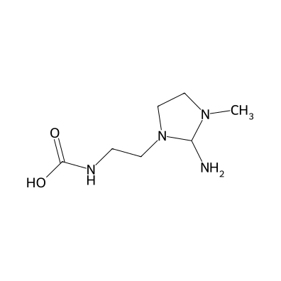 CN1CCN(CCNC(=O)O)C1N